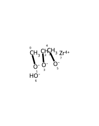 C[O-].C[O-].C[O-].[OH-].[Zr+4]